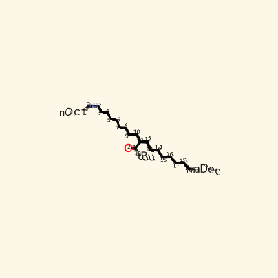 CCCCCCCC/C=C\CCCCCCCCC(CCCCCCCCCCCCCCCCCC)C(=O)C(C)(C)C